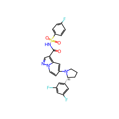 O=C(NS(=O)(=O)c1ccc(F)cc1)c1cnn2ccc(N3CCC[C@@H]3c3cc(F)cc(F)c3)cc12